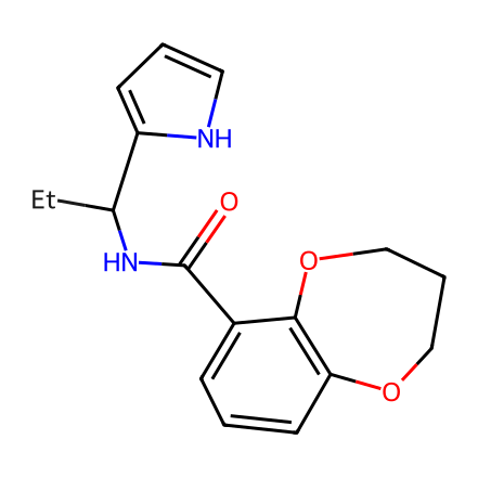 CCC(NC(=O)c1cccc2c1OCCCO2)c1ccc[nH]1